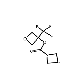 O=C(OC1(C(F)(F)F)COC1)N1C[CH]C1